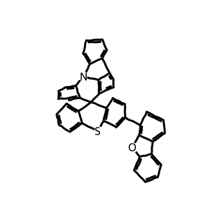 c1ccc2c(c1)Sc1cc(-c3cccc4c3oc3ccccc34)ccc1C21c2ccccc2-n2c3ccccc3c3cccc1c32